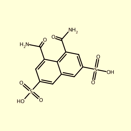 NC(=O)c1cc(S(=O)(=O)O)cc2cc(S(=O)(=O)O)cc(C(N)=O)c12